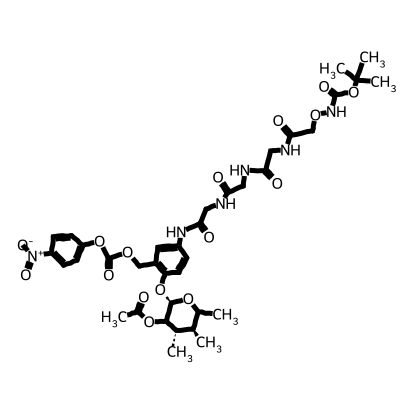 CC(=O)OC1[C@H](Oc2ccc(NC(=O)CNC(=O)CNC(=O)CNC(=O)CONC(=O)OC(C)(C)C)cc2COC(=O)Oc2ccc([N+](=O)[O-])cc2)OC(C)[C@@H](C)[C@@H]1C